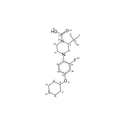 CC(C)(C)C1CN(c2ccc(OC3CCSCC3)cc2F)CCN1C(=O)O